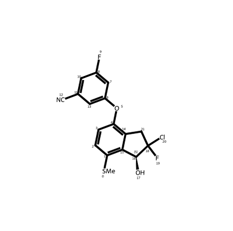 CSc1ccc(Oc2cc(F)cc(C#N)c2)c2c1[C@H](O)C(F)(Cl)C2